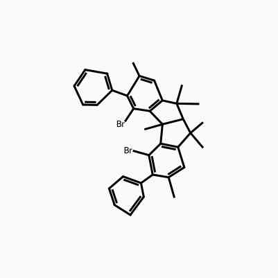 Cc1cc2c(c(Br)c1-c1ccccc1)C1(C)c3c(cc(C)c(-c4ccccc4)c3Br)C(C)(C)C1C2(C)C